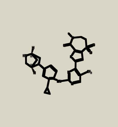 CN1CCS(=O)(=O)c2cc(-c3nc(Nc4ccc(N5C[C@H]6C[C@@H]5CN6)cc4C4CC4)ncc3C(F)(F)F)sc2C1=O